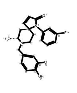 C[C@@H]1C[C@]2(C=CC(=O)N2c2cccc(F)c2)CCN1Cc1ccc(O)c(Cl)c1